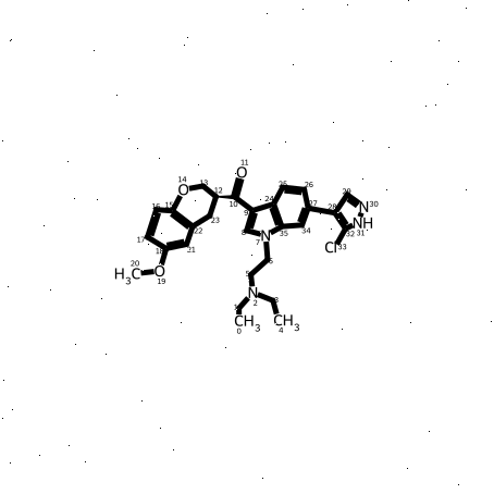 CCN(CC)CCn1cc(C(=O)[C@@H]2COc3ccc(OC)cc3C2)c2ccc(-c3cn[nH]c3Cl)cc21